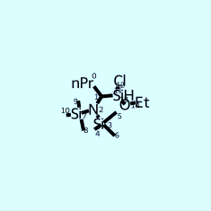 CCCC(N([Si](C)(C)C)[Si](C)(C)C)[SiH](Cl)OCC